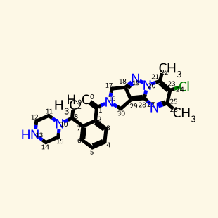 C=C(c1ccccc1C(C)N1CCNCC1)N1Cc2nn3c(C)c(Cl)c(C)nc3c2C1